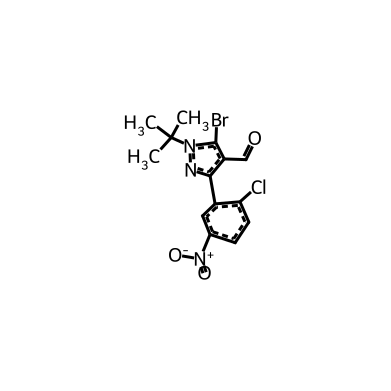 CC(C)(C)n1nc(-c2cc([N+](=O)[O-])ccc2Cl)c(C=O)c1Br